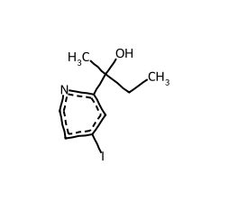 CCC(C)(O)c1cc(I)ccn1